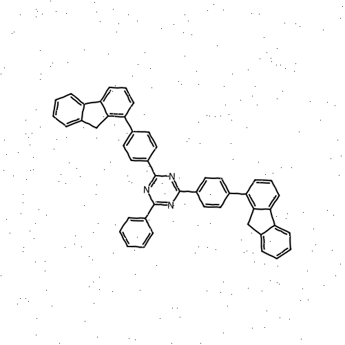 c1ccc(-c2nc(-c3ccc(-c4cccc5c4Cc4ccccc4-5)cc3)nc(-c3ccc(-c4cccc5c4Cc4ccccc4-5)cc3)n2)cc1